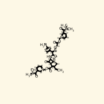 C=CC1=C(C(=O)OC[n+]2cccc(C(=O)N(C)C)c2)C2C(=O)[C@@H](NC(=O)/C(=N/OCC(=O)OC[n+]3cccc(C(=O)N(C)C)c3)c3csc(N)n3)[C@H]2SC1